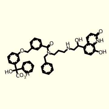 O=C(c1cccc(COc2cccc(C(O)(C(=O)O)c3ccccc3)c2)c1)N(CCCNCC(O)c1ccc(O)c2[nH]c(=O)ccc12)Cc1ccccc1